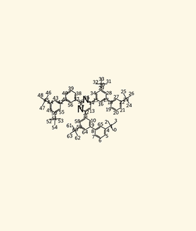 CC(C)(C)c1cccc(-c2cc(-c3cc(-c4cc(-c5cccc(C(C)(C)C)c5)cc(C(C)(C)C)c4)nc(-c4cccc(-c5cc(C(C)(C)C)cc(C(C)(C)C)c5)c4)n3)cc(C(C)(C)C)c2)c1